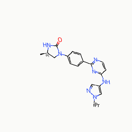 CC(C)n1cc(Nc2ccnc(-c3ccc(N4C[C@@H](C)NC4=O)cc3)n2)cn1